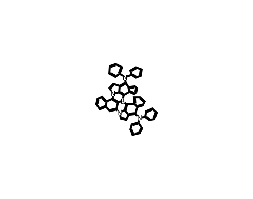 c1ccc(N(c2ccccc2)c2c3ccccc3c3c4c2ccn4-c2cc4ccccc4c4c2B3c2c3ccccc3c(N(c3ccccc3)c3ccccc3)c3ccn-4c23)cc1